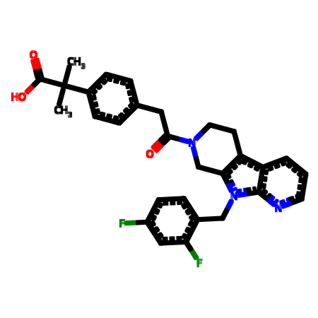 CC(C)(C(=O)O)c1ccc(CC(=O)N2CCc3c(n(Cc4ccc(F)cc4F)c4ncccc34)C2)cc1